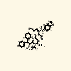 COC(=O)N(C(=O)[C@@H](N)C(c1ccccc1)c1ccccc1)[C@@H](C)CCC[C@@H](CO)N(CCC(C)C)S(=O)(=O)c1ccc2ncsc2c1